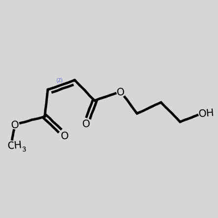 COC(=O)/C=C\C(=O)OCCCO